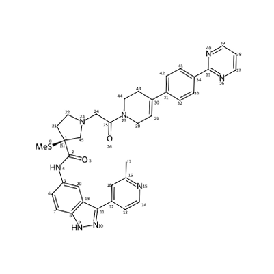 CS[C@@]1(C(=O)Nc2ccc3[nH]nc(-c4ccnc(C)c4)c3c2)CCN(CC(=O)N2CC=C(c3ccc(-c4ncccn4)cc3)CC2)C1